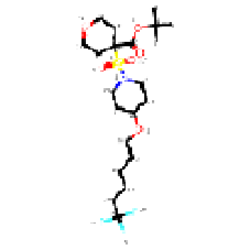 CC(C)(C)OC(=O)C1(S(=O)(=O)N2CCC(OCCCCCC(F)(F)F)CC2)CCOCC1